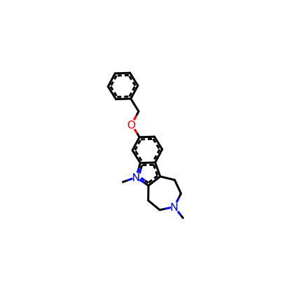 CN1CCc2c(n(C)c3cc(OCc4ccccc4)ccc23)CC1